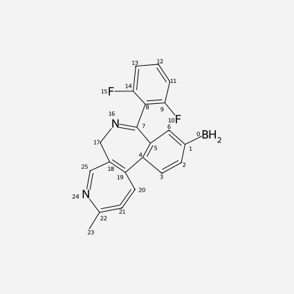 Bc1ccc2c(c1)C(c1c(F)cccc1F)=NCC1=C2C=C=C(C)N=C1